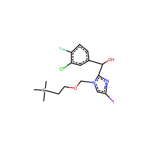 C[Si](C)(C)CCOCn1cc(I)nc1C(O)c1ccc(F)c(Cl)c1